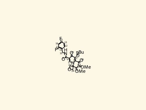 CCCCOc1c2n(cc(C(=O)NCc3ccc(F)cc3F)c1=O)C1(COC1)C(OC)N(OC)C2=O